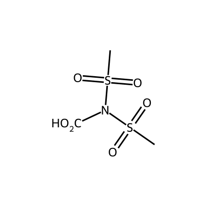 CS(=O)(=O)N(C(=O)O)S(C)(=O)=O